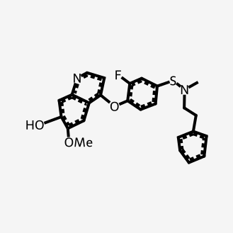 COc1cc2c(Oc3ccc(SN(C)CCc4ccccc4)cc3F)ccnc2cc1O